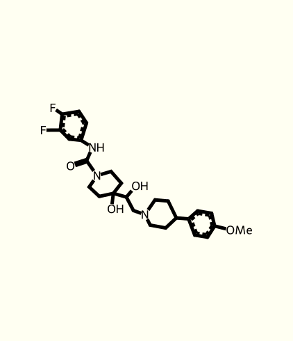 COc1ccc(C2CCN(CC(O)C3(O)CCN(C(=O)Nc4ccc(F)c(F)c4)CC3)CC2)cc1